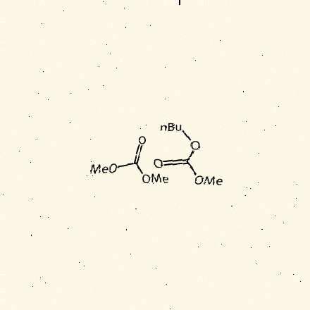 CCCCOC(=O)OC.COC(=O)OC